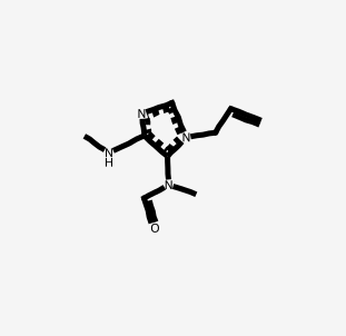 C=CCn1cnc(NC)c1N(C)C=O